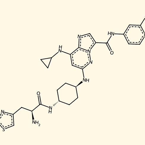 N[C@@H](Cc1cscn1)C(=O)N[C@H]1CC[C@H](Nc2cc(NC3CC3)c3ncc(C(=O)Nc4ccnc(Cl)c4)n3n2)CC1